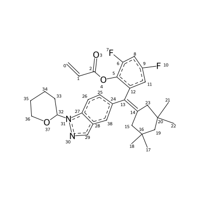 C=CC(=O)Oc1c(F)cc(F)cc1C(=C1CC(C)(C)CC(C)(C)C1)c1ccc2c(cnn2C2CCCCO2)c1